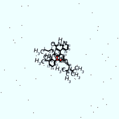 CCCCN(C(=O)Nc1c(C(C)C)cccc1C(C)C)c1c(-c2cccc(OCCN(C(C)C)C(C)C)c2)c2cccnc2[nH]c1=O